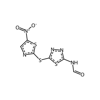 O=CNc1nnc(Sc2ncc([N+](=O)[O-])s2)s1